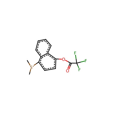 C[S+](C)c1ccc(OC(=O)C(F)(F)F)c2ccccc12